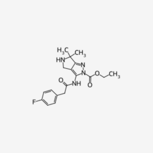 CCOC(=O)n1nc2c(c1NC(=O)Cc1ccc(F)cc1)CNC2(C)C